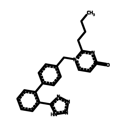 CCCCc1nc(=O)ccn1Cc1ccc(-c2ccccc2-c2nnn[nH]2)cc1